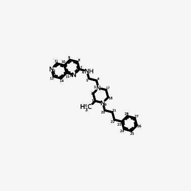 CC1CN(CCNc2ccc3cnccc3n2)CCN1CCCc1ccccc1